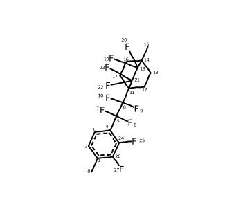 Cc1ccc(C(F)(F)C(F)(F)C23CCC(C)(CC2)C(F)(F)C3(F)F)c(F)c1F